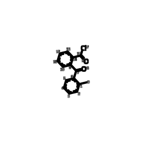 Cc1ccccc1C(=O)c1ccccc1C(=O)Cl